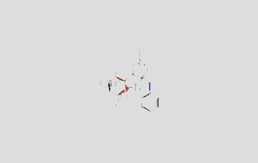 Cc1ccc(F)c([C@H]2CNC[C@]2(Cc2ccccc2)NC(=O)OC(C)(C)C)c1